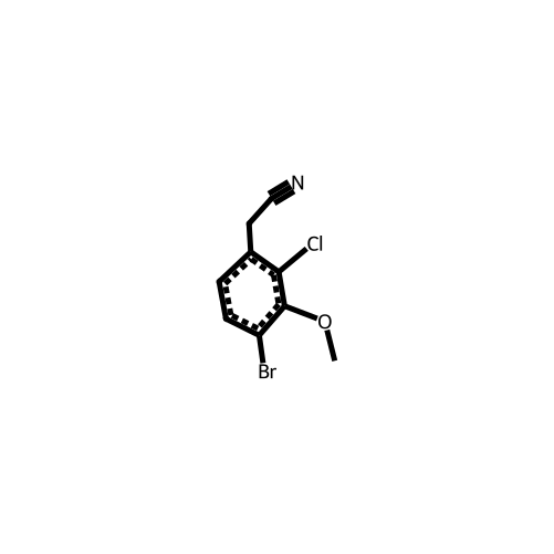 COc1c(Br)ccc(CC#N)c1Cl